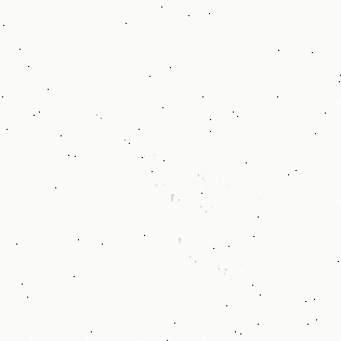 C=CC(=O)Nc1cc(-c2cccc3cnc(Nc4ccc(N5CCN(CCF)CC5)c(F)c4F)nc23)ccn1